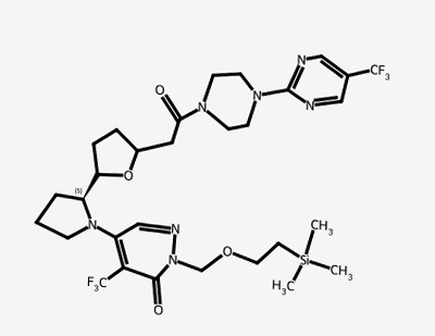 C[Si](C)(C)CCOCn1ncc(N2CCC[C@H]2C2CCC(CC(=O)N3CCN(c4ncc(C(F)(F)F)cn4)CC3)O2)c(C(F)(F)F)c1=O